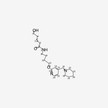 O=C(CSCCO)NCCCCOc1cc(CN2CCCCC2)ccn1